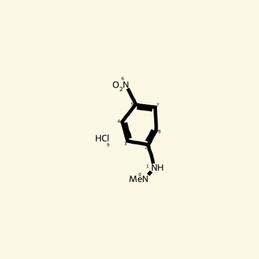 CNNc1ccc([N+](=O)[O-])cc1.Cl